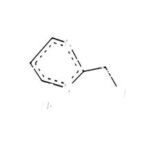 Cl.ClCc1ncccn1